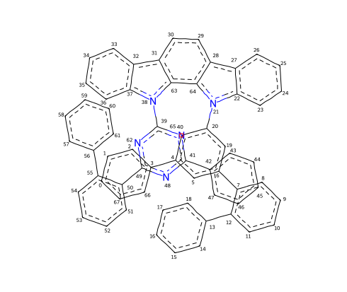 c1ccc(-c2cc(-c3ccccc3-c3ccccc3)cc(-n3c4ccccc4c4ccc5c6ccccc6n(-c6nc(-c7ccccc7)nc(-c7ccccc7-c7ccccc7)n6)c5c43)c2)cc1